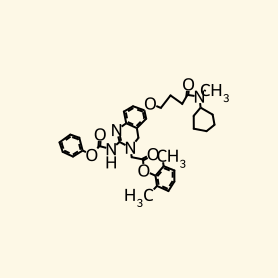 Cc1cccc(C)c1OC(=O)CN1Cc2cc(OCCCC(=O)N(C)C3CCCCC3)ccc2N=C1NC(=O)Oc1ccccc1